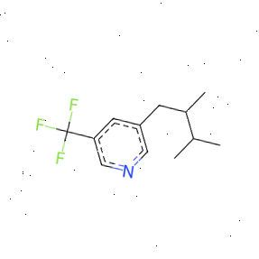 CC(C)C(C)Cc1cncc(C(F)(F)F)c1